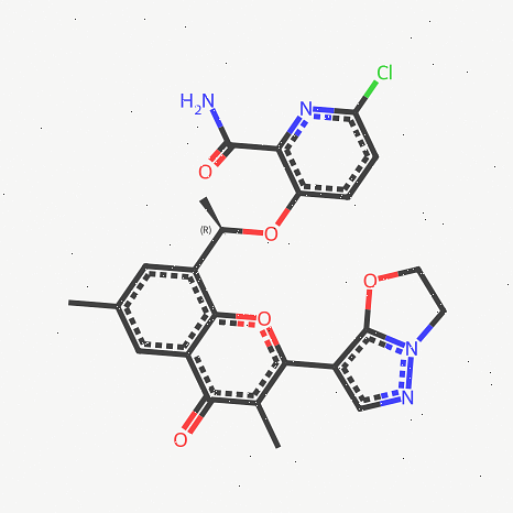 Cc1cc([C@@H](C)Oc2ccc(Cl)nc2C(N)=O)c2oc(-c3cnn4c3OCC4)c(C)c(=O)c2c1